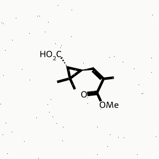 COC(=O)/C(C)=C\[C@@H]1[C@@H](C(=O)O)C1(C)C